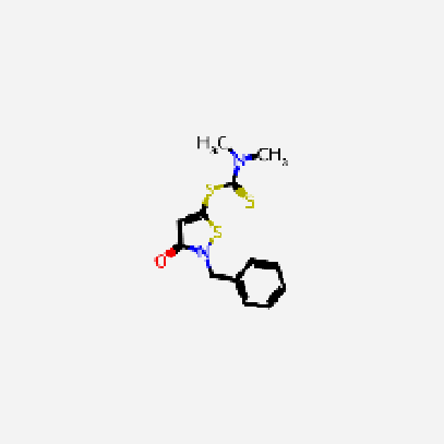 CN(C)C(=S)Sc1cc(=O)n(Cc2ccccc2)s1